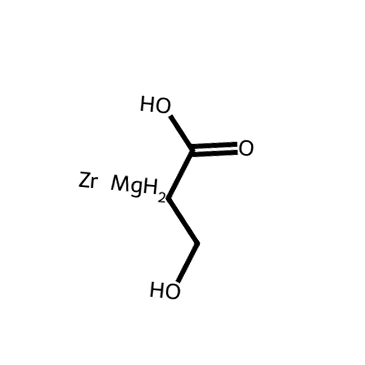 O=C(O)CCO.[MgH2].[Zr]